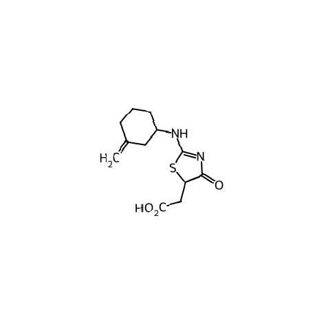 C=C1CCCC(NC2=NC(=O)C(CC(=O)O)S2)C1